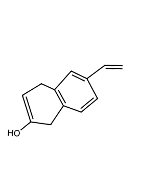 C=Cc1ccc2c(c1)CC=C(O)C2